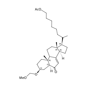 COCO[C@H]1CC[C@]2(C)C3CC[C@]4(C)[C@@H](C(C)CCCCCCOC(C)=O)CC[C@H]4C3=CC(=O)[C@H]2C1